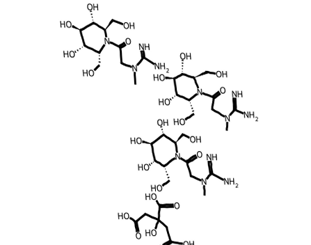 CN(CC(=O)N1[C@H](CO)[C@H](O)[C@@H](O)[C@H](O)[C@H]1CO)C(=N)N.CN(CC(=O)N1[C@H](CO)[C@H](O)[C@@H](O)[C@H](O)[C@H]1CO)C(=N)N.CN(CC(=O)N1[C@H](CO)[C@H](O)[C@@H](O)[C@H](O)[C@H]1CO)C(=N)N.O=C(O)CC(O)(CC(=O)O)C(=O)O